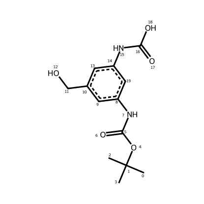 CC(C)(C)OC(=O)Nc1cc(CO)cc(NC(=O)O)c1